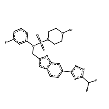 CC(=O)N1CCN(S(=O)(=O)N(Cc2cn3ccc(-c4nnc(C(F)F)o4)cc3n2)c2cccc(F)c2)CC1